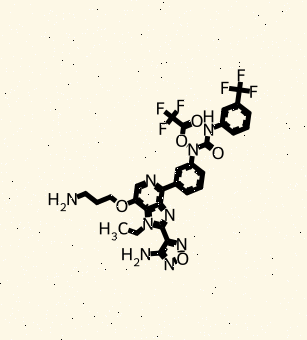 CCn1c(-c2nonc2N)nc2c(-c3cccc(N(OC(=O)C(F)(F)F)C(=O)Nc4cccc(C(F)(F)F)c4)c3)ncc(OCCCN)c21